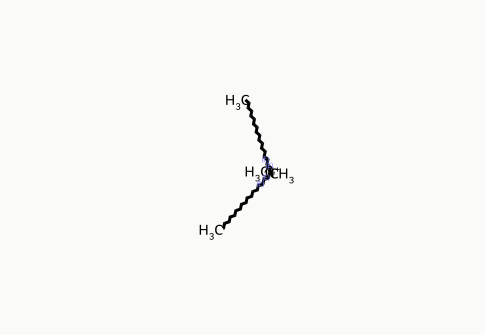 CCCCCCCCCCCCCC/C=C/C=C/[N+](C)(C)/C=C/C=C/CCCCCCCCCCCCCC